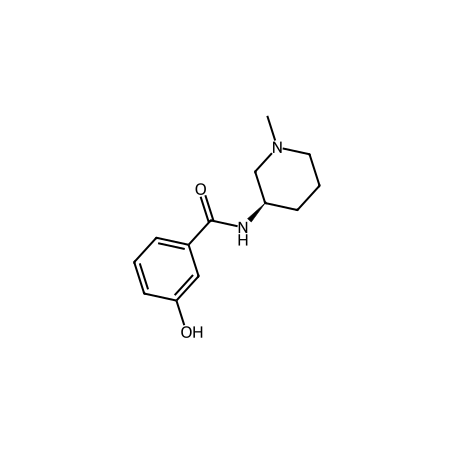 CN1CCC[C@@H](NC(=O)c2cccc(O)c2)C1